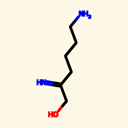 N=C(CO)CCCCN